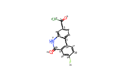 O=C(Cl)c1ccc2c(c1)[nH]c(=O)c1cc(F)ccc12